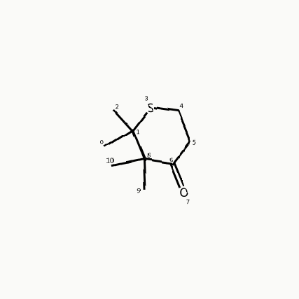 CC1(C)SCCC(=O)C1(C)C